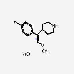 CO/C=C(/c1ccc(F)cc1)C1CCNCC1.Cl